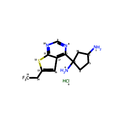 Cl.NC1CCC(N)(c2ncnc3sc(CC(F)(F)F)cc23)C1